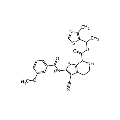 COc1cccc(C(=O)Nc2sc3c(c2C#N)CCNC3C(=O)OC(C)c2scnc2C)c1